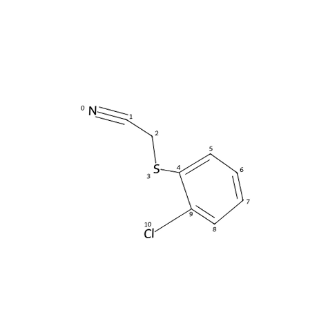 N#CCSc1ccccc1Cl